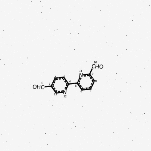 O=Cc1ccc(-c2cccc(C=O)n2)nc1